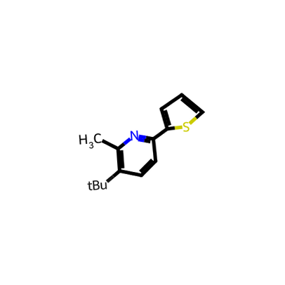 Cc1nc(-c2cccs2)ccc1C(C)(C)C